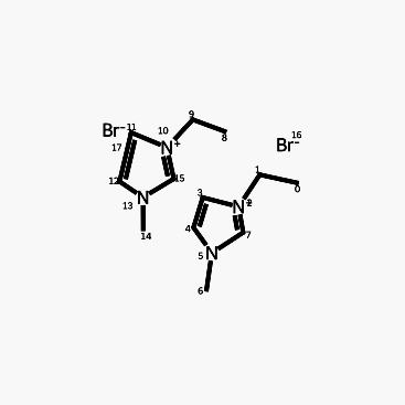 CC[n+]1ccn(C)c1.CC[n+]1ccn(C)c1.[Br-].[Br-]